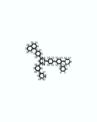 C1=CC2c3ccccc3-c3cc(-c4ccc(-c5nc(-c6ccc(-c7cccc8ccccc78)cc6)cc(-c6cccc(-c7cccnc7)c6)n5)cc4)ccc3C2C=C1